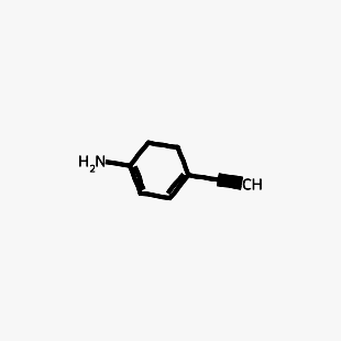 C#CC1=CC=C(N)CC1